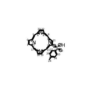 C1=CC2=NC1=CC1=NC(=CC3=NC(=CC4=NC(=C2)C=C4)C=C3)C=C1.Cc1ccc(S(=O)(=O)O)cc1